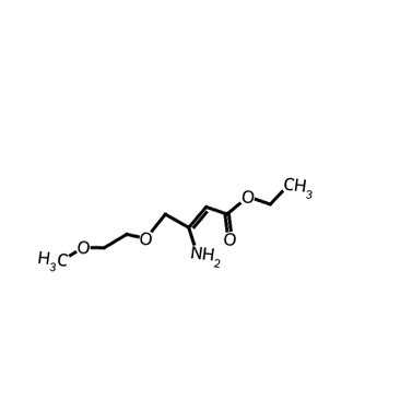 CCOC(=O)C=C(N)COCCOC